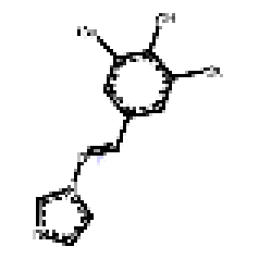 CC(C)(C)c1cc(/C=N/n2ccnc2)cc(C(C)(C)C)c1O